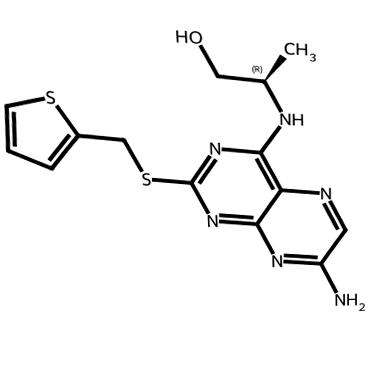 C[C@H](CO)Nc1nc(SCc2cccs2)nc2nc(N)cnc12